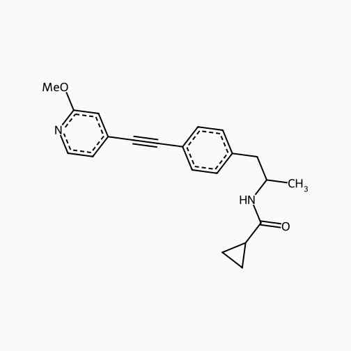 COc1cc(C#Cc2ccc(CC(C)NC(=O)C3CC3)cc2)ccn1